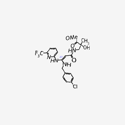 COC(=O)C(C)(O)CNC(=O)/C=C(\NCc1ccc(Cl)cc1)Nc1cccc(C(F)(F)F)n1